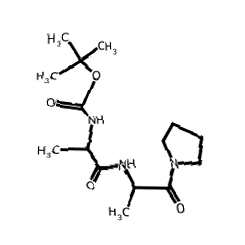 CC(NC(=O)OC(C)(C)C)C(=O)NC(C)C(=O)N1CCCC1